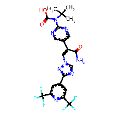 CC(C)(C)N(C(=O)O)c1ncc(C(=Cn2cnc(-c3cc(C(F)(F)F)nc(C(F)(F)F)c3)n2)C(N)=O)cn1